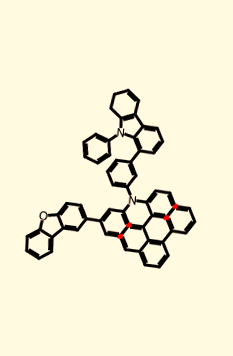 C1=Cc2c(n(-c3ccccc3)c3c(-c4cccc(N(c5cccc(-c6ccc7oc8ccccc8c7c6)c5)c5ccccc5-c5cccc6cccc(-c7ccccc7)c56)c4)cccc23)CC1